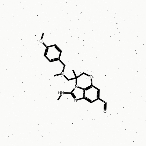 CNc1nc2cc(C=O)cc3c2n1C(C)(CN(C)Cc1ccc(OC)cc1)CO3